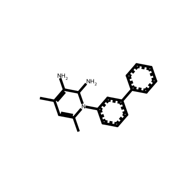 CC1=CC(C)=C(N)C(N)N1c1cccc(-c2ccccc2)c1